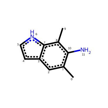 Cc1cc2cc[nH]c2c(C)c1N